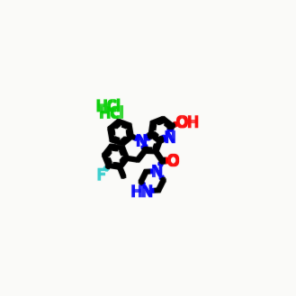 Cc1c(F)cccc1Cc1c(C(=O)N2CCNCC2)c2nc(O)ccc2n1-c1ccccc1.Cl.Cl